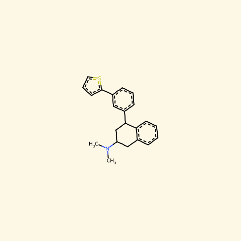 CN(C)C1Cc2ccccc2C(c2cccc(-c3cccs3)c2)C1